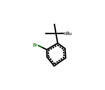 CCCCC(C)(C)c1ccccc1Br